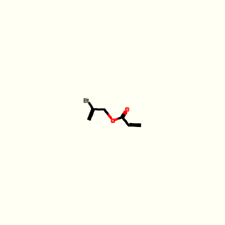 C=CC(=O)OCC(=C)CC